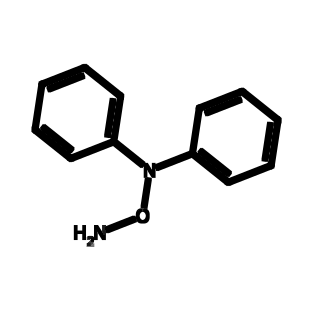 NON(c1ccccc1)c1ccccc1